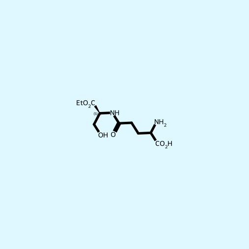 CCOC(=O)[C@H](CO)NC(=O)CCC(N)C(=O)O